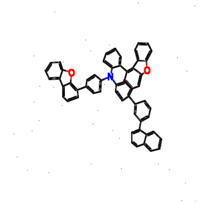 c1cc(-c2ccc(N(c3ccc(-c4cccc5c4oc4ccccc45)cc3)c3ccccc3-c3cccc4oc5ccccc5c34)cc2)cc(-c2cccc3ccccc23)c1